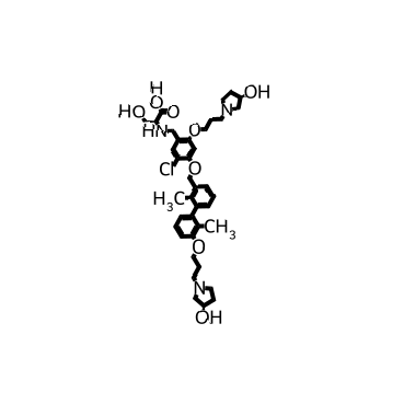 Cc1c(COc2cc(OCCCN3CC[C@@H](O)C3)c(CN[C@@H](CO)C(=O)O)cc2Cl)cccc1-c1cccc(OCCCN2CC[C@@H](O)C2)c1C